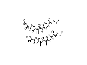 CCCCCOC(=O)c1ccc(NC(=O)Nc2ccc(C(=O)OCC)cc2)cc1.CCCOC(=O)c1ccc(NC(=O)Nc2ccc(C(=O)OCC)cc2)cc1